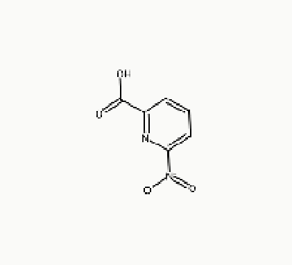 O=C(O)c1cccc([N+](=O)[O-])n1